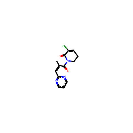 CC(=Cc1ncccn1)C(=O)N1CCC=C(Cl)C1=O